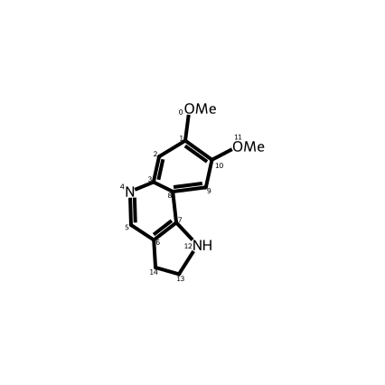 COc1cc2ncc3c(c2cc1OC)NCC3